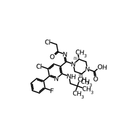 C[C@@H]1CN(C(=NC(=O)CCl)c2cc(Cl)c(-c3ccccc3F)nc2NCC(C)(C)C)[C@@H](C)CN1C(=O)O